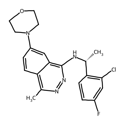 Cc1nnc(N[C@H](C)c2ccc(F)cc2Cl)c2cc(N3CCOCC3)ccc12